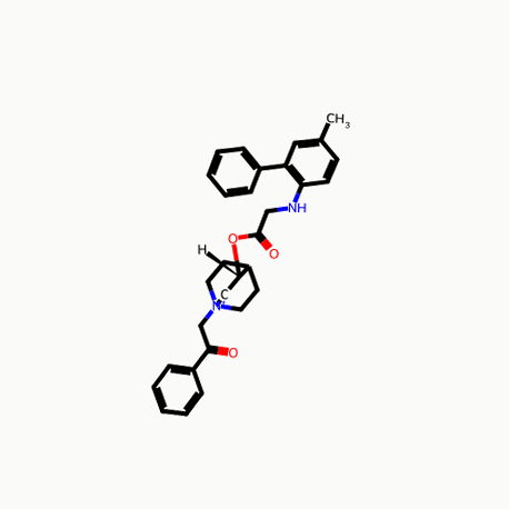 Cc1ccc(NCC(=O)O[C@H]2C[N+]3(CC(=O)c4ccccc4)CCC2CC3)c(-c2ccccc2)c1